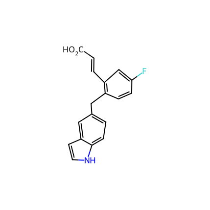 O=C(O)/C=C/c1cc(F)ccc1Cc1ccc2[nH]ccc2c1